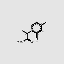 COC(=O)C(C)n1ccc(C)cc1=O